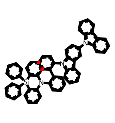 c1ccc([Si]2(c3ccccc3)c3ccccc3N(c3ccccc3-c3ccccc3-n3c4ccccc4c4cc(-n5c6ccccc6c6ccccc65)ccc43)c3ccccc32)cc1